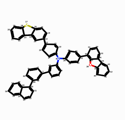 c1cc(-c2cccc(N(c3ccc(-c4ccc5sc6ccccc6c5c4)cc3)c3ccc(-c4cccc5c4oc4ccccc45)cc3)c2)cc(-c2cccc3ccccc23)c1